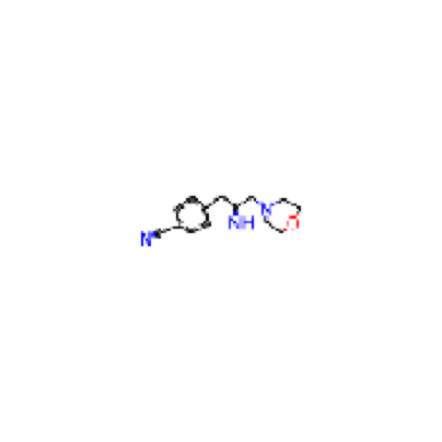 N#Cc1ccc(CC(=N)CN2CCOCC2)cc1